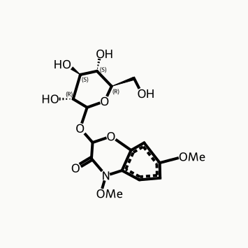 COc1ccc2c(c1)OC(OC1O[C@H](CO)[C@@H](O)[C@H](O)[C@H]1O)C(=O)N2OC